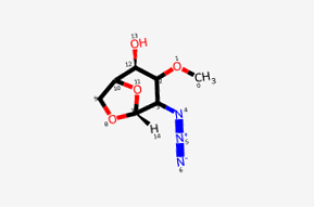 COC1C(N=[N+]=[N-])[C@@H]2OCC(O2)[C@H]1O